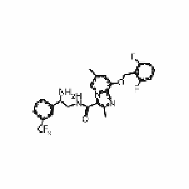 Cc1cc(OCc2c(F)cccc2F)c2nc(C)c(C(=O)NCC(N)c3cccc(C(F)(F)F)c3)n2c1